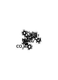 CCCC[C@H](NC(=O)[C@@H](N)Cc1cccnc1)C(=O)N[C@@H](Cc1ccccc1)C(=O)N[C@@](F)(CCCC)C(=O)N(C)[C@@H](CC1CCCCC1)C(=O)O